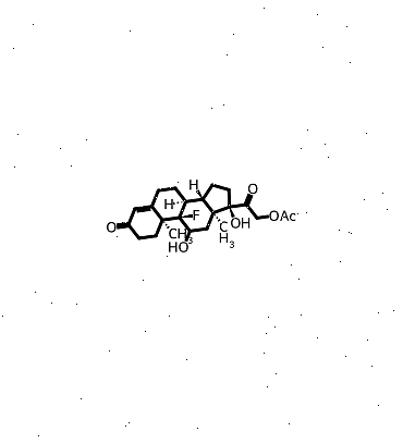 CC(=O)OCC(=O)[C@@]1(O)CC[C@H]2[C@@H]3CCC4=CC(=O)CC[C@]4(C)[C@@]3(F)C(O)C[C@@]21C